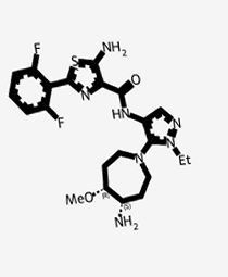 CCn1ncc(NC(=O)c2nc(-c3c(F)cccc3F)sc2N)c1N1CC[C@H](N)[C@H](OC)CC1